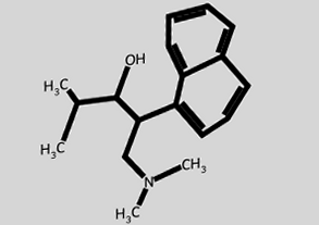 CC(C)C(O)C(CN(C)C)c1cccc2ccccc12